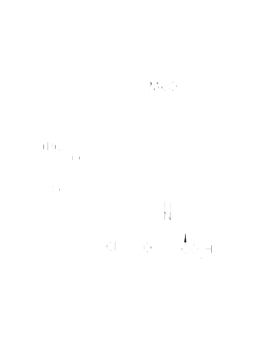 COc1cccc(-c2ccc(C[C@H](NC(=O)c3ccc(C(=O)OC(C)(C)C)cc3Cl)C(=O)O)cc2)c1